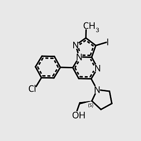 Cc1nn2c(-c3cccc(Cl)c3)cc(N3CCC[C@H]3CO)nc2c1I